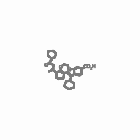 CN(CC(=O)N1CCCCC1)c1cccc2c1OCCn1c-2c(C2CCCCC2)c2ccc(C(=O)O)cc21